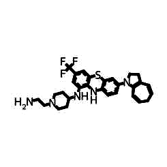 NCCN1CCC(Nc2cc(C(F)(F)F)cc3c2Nc2ccc(N4CCC5=C4C=CCC=C5)cc2S3)CC1